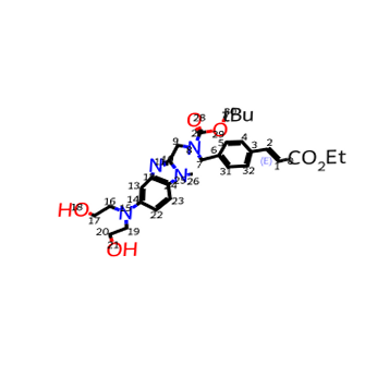 CCOC(=O)/C=C/c1ccc(CN(Cc2nc3cc(N(CCO)CCO)ccc3n2C)C(=O)OC(C)(C)C)cc1